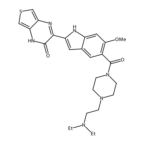 CCN(CC)CCN1CCN(C(=O)c2cc3cc(-c4nc5cscc5[nH]c4=O)[nH]c3cc2OC)CC1